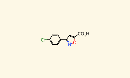 O=C(O)c1cc(-c2ccc(Cl)cc2)no1